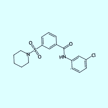 O=C(Nc1[c]ccc(Cl)c1)c1cccc(S(=O)(=O)N2CCCCC2)c1